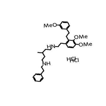 COc1cccc(CCc2c(CCNCCC(C)CCNCCc3ccccc3)ccc(OC)c2OC)c1.Cl.Cl